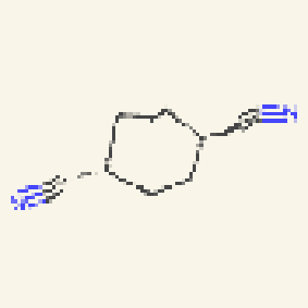 N#C[C@H]1CC[C@H](C#N)CC1